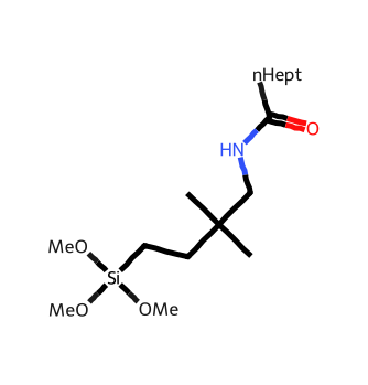 CCCC[CH]CCC(=O)NCC(C)(C)CC[Si](OC)(OC)OC